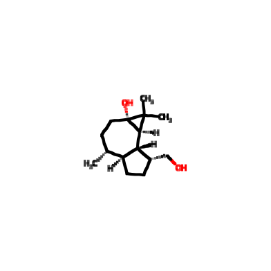 C[C@@H]1CC[C@]2(O)[C@H]([C@@H]3[C@H](CO)CC[C@H]31)C2(C)C